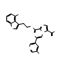 C=C(C)c1cnc2c(NCCc3c[nH]c4cccc(F)c34)nc(-c3cncc(F)c3)cn12